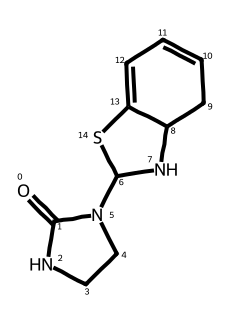 O=C1NCCN1C1NC2CC=CC=C2S1